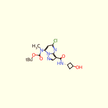 CN(C(=O)OC(C)(C)C)c1cc(Cl)nc2c(C(=O)N[C@H]3C[C@H](O)C3)cnn12